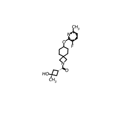 Cc1ccc(F)c(OC2CCC3(CC2)CN(C(=O)[C@H]2C[C@@](C)(O)C2)C3)n1